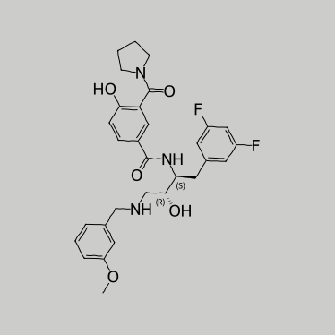 COc1cccc(CNC[C@@H](O)[C@H](Cc2cc(F)cc(F)c2)NC(=O)c2ccc(O)c(C(=O)N3CCCC3)c2)c1